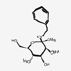 CO[C@]1(OCc2ccccc2)O[C@H](CO)[C@@H](O)[C@H](O)[C@@H]1O